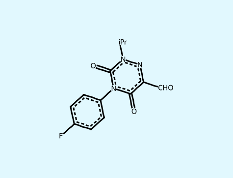 CC(C)n1nc(C=O)c(=O)n(-c2ccc(F)cc2)c1=O